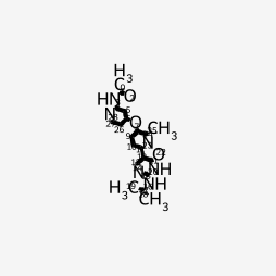 CC(=O)Nc1cc(Oc2ccc(-c3cnc(NC(C)C)[nH]c3=O)nc2C)ccn1